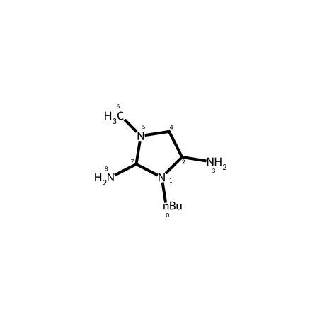 CCCCN1C(N)CN(C)C1N